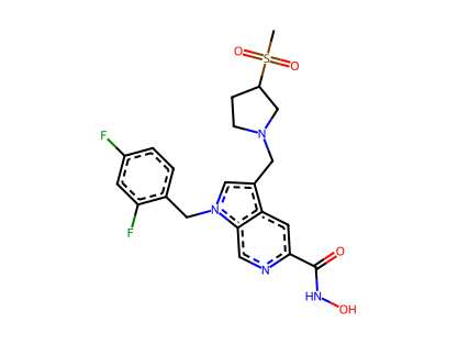 CS(=O)(=O)C1CCN(Cc2cn(Cc3ccc(F)cc3F)c3cnc(C(=O)NO)cc23)C1